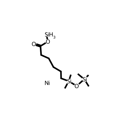 C[Si](C)(C)O[Si](C)(C)CCCCCC(=O)O[SiH3].[Ni]